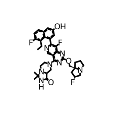 CCc1c(F)ccc2cc(O)cc(-c3ncc4c(N5CCN6C(C5)C(=O)NC6(C)C)nc(OC[C@@]56CCCN5C[C@H](F)C6)nc4c3F)c12